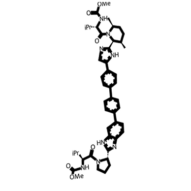 COC(=O)N[C@H](C(=O)N1CCC[C@H]1c1nc2ccc(-c3ccc(-c4ccc(-c5cnc([C@@H]6[C@H](C)CC[C@H](C)N6C(=O)[C@@H](NC(=O)OC)C(C)C)[nH]5)cc4)cc3)cc2[nH]1)C(C)C